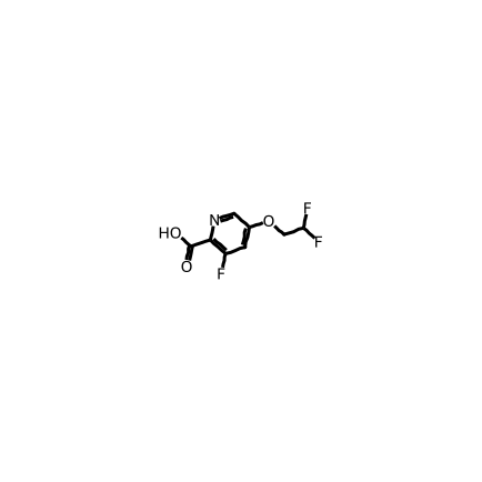 O=C(O)c1ncc(OCC(F)F)cc1F